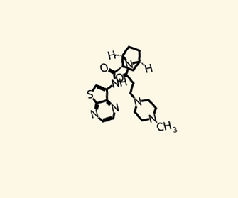 CN1CCN(CCC(=O)N2[C@H]3CC[C@@H]2[C@H](C(=O)Nc2csc4nccnc24)C3)CC1